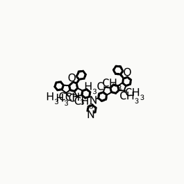 CC1(C)c2cc(N(c3ccncc3)c3ccc4c(c3)C(C)(C)c3c5c(c6oc7ccccc7c6c3-4)-c3ccccc3C5(C)C)ccc2-c2cc3c(cc21)-c1c(ccc2oc4ccccc4c12)C3(C)C